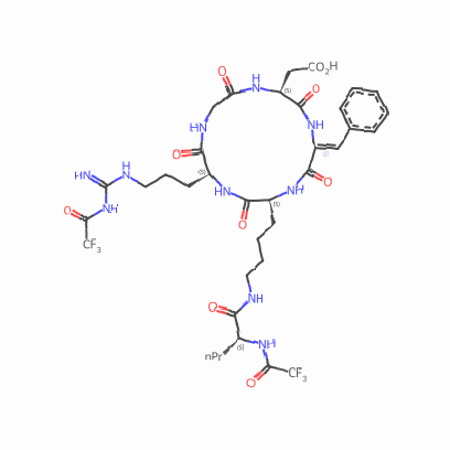 CCC[C@H](NC(=O)C(F)(F)F)C(=O)NCCCC[C@@H]1NC(=O)/C(=C/c2ccccc2)NC(=O)[C@H](CC(=O)O)NC(=O)CNC(=O)[C@H](CCCNC(=N)NC(=O)C(F)(F)F)NC1=O